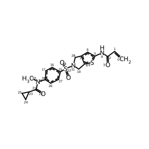 C=CC(=O)Nc1cc2c(s1)CN(S(=O)(=O)c1ccc(N(C)C(=O)C3CC3)cc1)C2